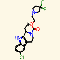 CC(C)CC1c2[nH]c3ccc(Cl)cc3c2CCN1C(=O)OCCN1CCC(F)(F)C1